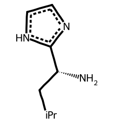 CC(C)C[C@@H](N)c1ncc[nH]1